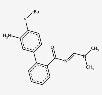 CN(C)/C=N/C(=O)c1ccccc1-c1ccc(SC(C)(C)C)c(N)c1